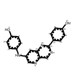 Oc1ccc(Nc2cnc3cnc(-c4ccc(O)cc4)nc3c2)cc1